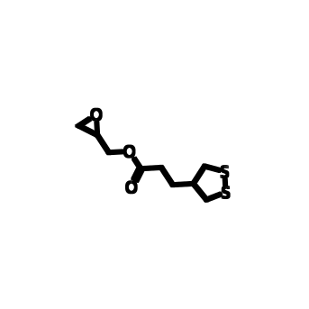 O=C(CCC1CSSC1)OCC1CO1